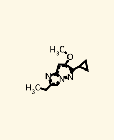 CCc1cn2nc(C3CC3)c(OC)cc2n1